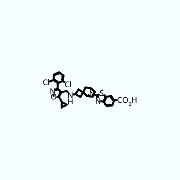 O=C(O)c1ccc2nc(N3C4CCC3C3(CC(NCc5c(-c6c(Cl)cccc6Cl)noc5C5CC5)C3)C4)sc2c1